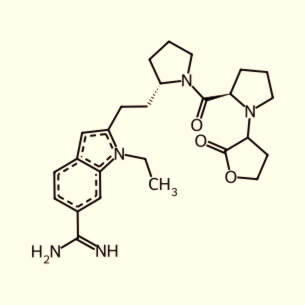 CCn1c(CC[C@@H]2CCCN2C(=O)[C@H]2CCCN2C2CCOC2=O)cc2ccc(C(=N)N)cc21